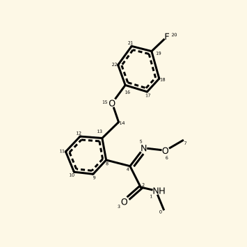 CNC(=O)C(=NOC)c1ccccc1COc1ccc(F)cc1